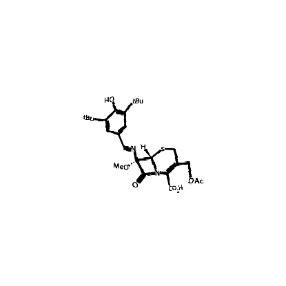 CO[C@@]1(N=Cc2cc(C(C)(C)C)c(O)c(C(C)(C)C)c2)C(=O)N2C(C(=O)O)=C(COC(C)=O)CS[C@H]21